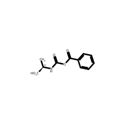 C[C@@H](NC(=O)OC(=O)c1ccccc1)C(=O)O